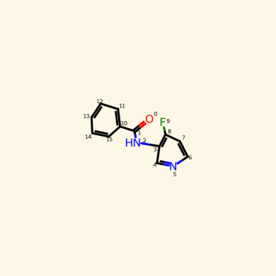 O=C(Nc1cnccc1F)c1ccccc1